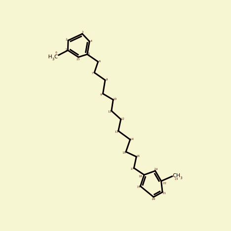 Cc1cccc(CCCCCCCCCCCCc2cccc(C)c2)c1